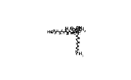 CCCCCCCCCCC[Si](OC)(OC)O[SiH](CCCCCCCCCCO)OC